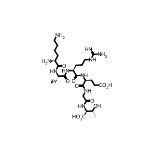 CC(C)[C@H](NC(=O)[C@@H](N)CCCCN)C(=O)N[C@@H](CCCNC(=N)N)C(=O)N[C@@H](CCC(=O)O)C(=O)NCC(=O)N[C@H](C(=O)O)[C@@H](C)O